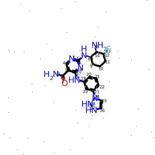 NC(=O)c1cnc(N[C@@H]2CCC[C@H](F)[C@@H]2N)nc1Nc1cccc(N2C=CNN2)c1